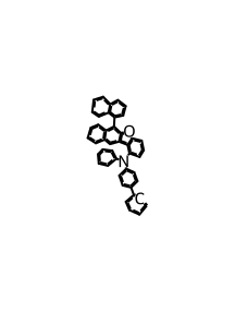 c1ccc(-c2ccc(N(c3ccccc3)c3cccc4oc5c(-c6cccc7ccccc67)c6ccccc6cc5c34)cc2)cc1